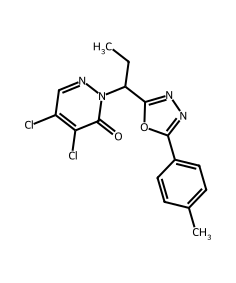 CCC(c1nnc(-c2ccc(C)cc2)o1)n1ncc(Cl)c(Cl)c1=O